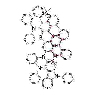 CC(C)(C)c1ccc(-c2cccc(-c3ccc(C(C)(C)C)cc3)c2N2c3cc4c(cc3B3c5ccccc5N(c5ccccc5)c5c3c2cc2oc3ccccc3c52)B2c3ccccc3N(c3ccccc3)c3c2c(cc2c3c3ccccc3n2-c2ccccc2)N4c2ccccc2-c2ccccc2)cc1